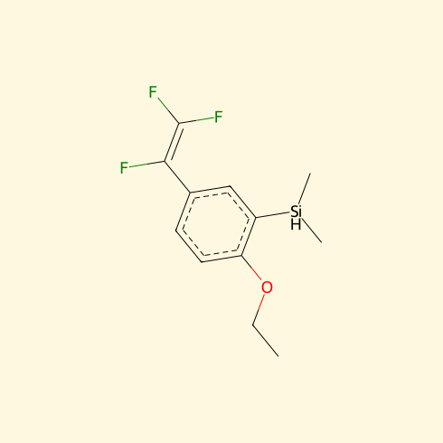 CCOc1ccc(C(F)=C(F)F)cc1[SiH](C)C